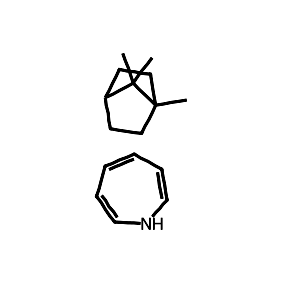 C1=CC=CNC=C1.CC12CCC(CC1)C2(C)C